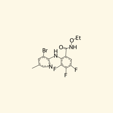 CCONC(=O)c1cc(F)c(F)c(F)c1Nc1ncc(C)cc1Br